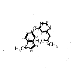 CC(C)Cc1cc(Oc2ccc3c(ccn3C)c2)ncn1